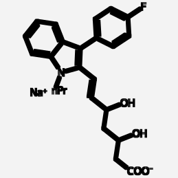 CCCn1c(C=CC(O)CC(O)CC(=O)[O-])c(-c2ccc(F)cc2)c2ccccc21.[Na+]